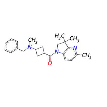 Cc1ccc2c(n1)C(C)(C)CN2C(=O)C1CC(N(C)Cc2ccccc2)C1